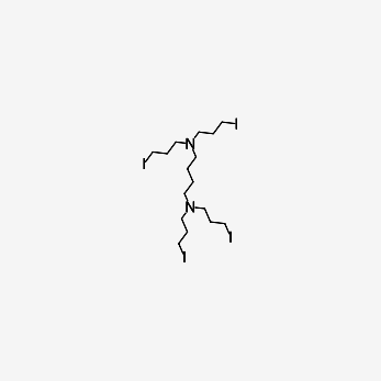 ICCCN(CCCI)CCCCN(CCCI)CCCI